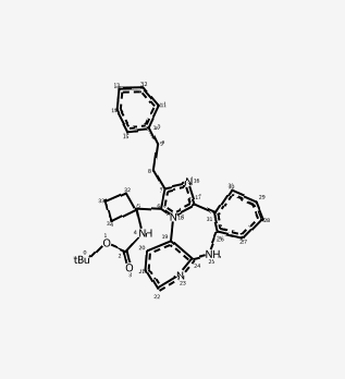 CC(C)(C)OC(=O)NC1(c2c(CCc3ccccc3)nc3n2-c2cccnc2Nc2ccccc2-3)CCC1